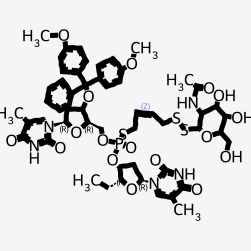 CC[C@H]1O[C@@H](n2cc(C)c(=O)[nH]c2=O)CC1OP(=O)(OC[C@H]1O[C@@H](n2cc(C)c(=O)[nH]c2=O)CC1OC(c1ccccc1)(c1ccc(OC)cc1)c1ccc(OC)cc1)SC/C=C\CSSC1OC(CO)C(O)C(O)C1NC(C)=O